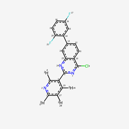 [2H]c1nc([2H])c(-c2nc(Cl)c3ccc(-c4cc(F)ccc4F)cc3n2)c([2H])c1[2H]